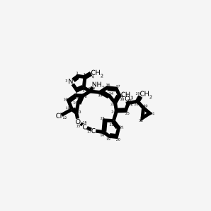 C=C1C=NC=C1C1(N)c2ccc(Cl)c(c2)OCCc2cccc(c2)/C(=C/C(=O)C(=C)C2CC2)c2cc1ccc2C